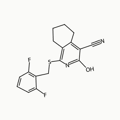 N#Cc1c(O)nc(SCc2c(F)cccc2F)c2c1CCCC2